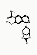 CC(C)Oc1cc2c(N3CC4CC(C3)OC(=O)N4)nccc2cc1C(N)=O